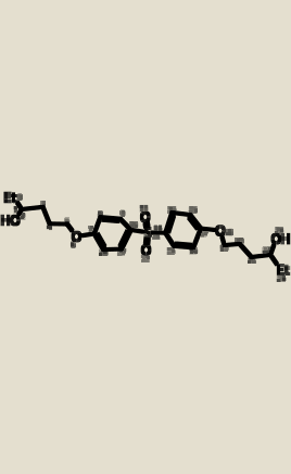 CCC(O)CCCOc1ccc(S(=O)(=O)c2ccc(OCCCC(O)CC)cc2)cc1